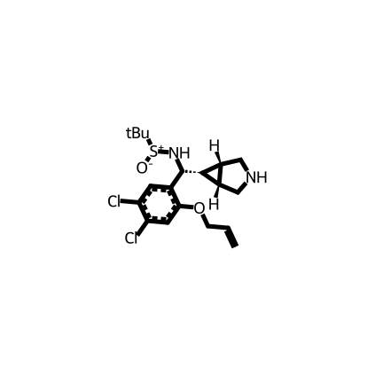 C=CCOc1cc(Cl)c(Cl)cc1C(N[S+]([O-])C(C)(C)C)[C@@H]1[C@@H]2CNC[C@@H]21